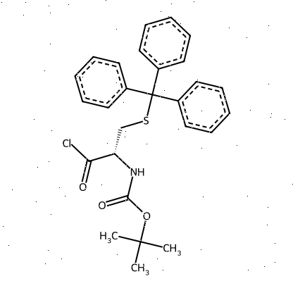 CC(C)(C)OC(=O)N[C@@H](CSC(c1ccccc1)(c1ccccc1)c1ccccc1)C(=O)Cl